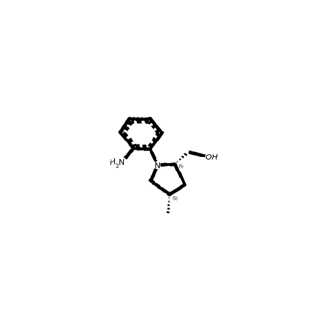 C[C@H]1C[C@@H](CO)N(c2ccccc2N)C1